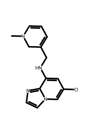 CN1C=CC=C(CNc2cc(Cl)cn3ccnc23)C1